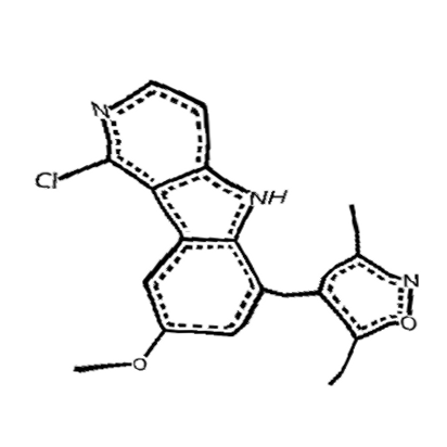 COc1cc(-c2c(C)noc2C)c2[nH]c3ccnc(Cl)c3c2c1